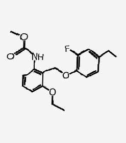 CCOc1cccc(NC(=O)OC)c1COc1ccc(CC)cc1F